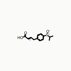 CC(C)[S+]([O-])c1ccc(C/C=C/C(=O)O)cc1